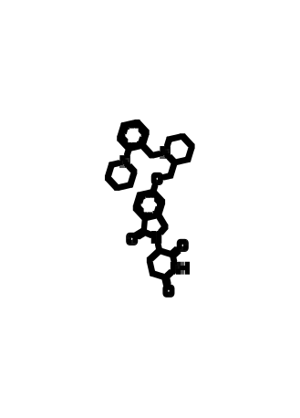 O=C1CCC(N2Cc3cc(OCC4CCCCN4Cc4ccccc4N4CCCCC4)ccc3C2=O)C(=O)N1